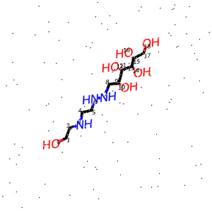 OCCNCCNNC[C@H](O)[C@@H](O)[C@H](O)[C@H](O)CO